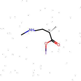 CNCC[C@H](C)C(=O)OI